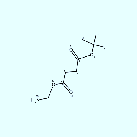 CC(C)(C)OC(=O)CCC(=O)OCN